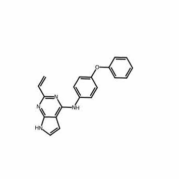 C=Cc1nc(Nc2ccc(Oc3ccccc3)cc2)c2cc[nH]c2n1